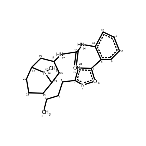 CCCCc1noc(-c2ccccc2NC(=O)NC2CC3CCCC(C2)N3C)n1